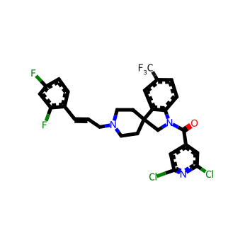 O=C(c1cc(Cl)nc(Cl)c1)N1CC2(CCN(C/C=C/c3ccc(F)cc3F)CC2)c2cc(C(F)(F)F)ccc21